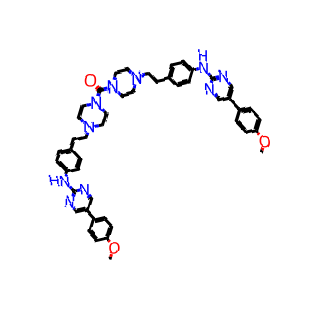 COc1ccc(-c2cnc(Nc3ccc(CCN4CCN(C(=O)N5CCN(CCc6ccc(Nc7ncc(-c8ccc(OC)cc8)cn7)cc6)CC5)CC4)cc3)nc2)cc1